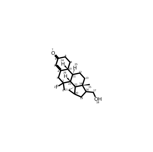 CC1(F)CC2=CC(=O)CC[C@@H]2[C@H]2CC[C@]3(C)C(CO)CC4C[C@@]43[C@@H]21